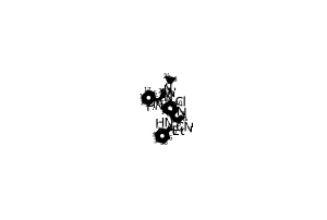 CC[C@@H](Nc1c(C#N)cnc2c(Cl)cc(NC(c3ccccc3)c3cn(C4CC4)nn3)cc12)c1ccccc1